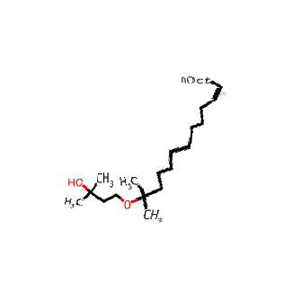 CCCCCCCC/C=C\CCCCCCCCC(C)(C)OCCC(C)(C)O